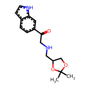 CC1(C)OCC(CNCC(=O)c2ccc3[c]c[nH]c3c2)O1